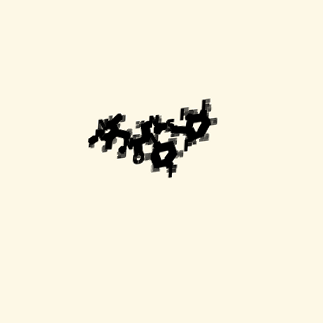 Cc1nn(C)c(C)c1CN(C)C(=O)c1cnc(SCc2c(F)ccc(F)c2F)n1-c1ccc(F)cc1